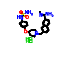 CN=C(N)c1ccc2ccc(CN3CCC(Oc4ccc(NS(N)(=O)=O)cc4)CC3)cc2c1.Cl.Cl